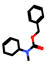 CN(C(=O)OCc1ccccc1)C1CC=CCC1